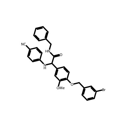 COc1cc(C(Nc2ccc(C#N)cc2)C(=O)NCc2ccccc2)ccc1OCc1cccc(Br)c1